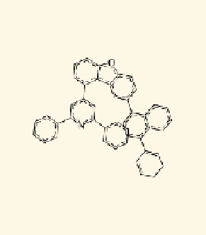 C1=CC(c2ccc(-c3ccc4oc5cccc(-c6cc(-c7ccccc7)nc(-c7ccccc7)c6)c5c4c3)c3ccccc23)=CCC1